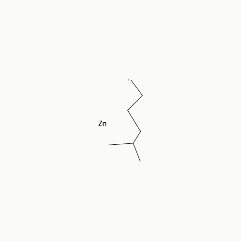 [CH2]CCCC(C)C.[Zn]